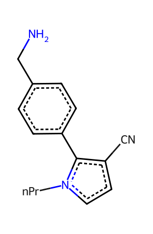 CCCn1ccc(C#N)c1-c1ccc(CN)cc1